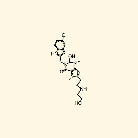 CN1c2nc(CCNCCO)n(C)c2C(=O)N(Cc2cc3cc(Cl)ccc3[nH]2)C1O